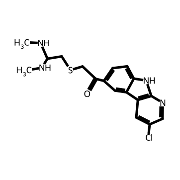 CNC(CSCC(=O)c1ccc2[nH]c3ncc(Cl)cc3c2c1)NC